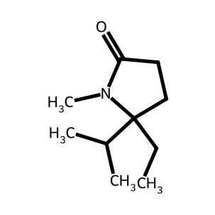 CCC1(C(C)C)CCC(=O)N1C